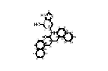 O=C(N[C@H](CCO)Cc1c[nH]cn1)C(Cc1cccc2ccccc12)Cc1cccc2ccccc12